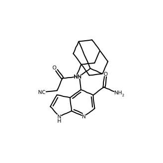 N#CCC(=O)NC12CC3CC(C1)C(Nc1c(C(N)=O)cnc4[nH]ccc14)C(C3)C2